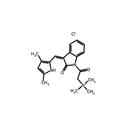 Cc1cc(C)c(/C=C2\C(=O)N(C(=O)C[N+](C)(C)C)c3ccccc32)[nH]1.[Cl-]